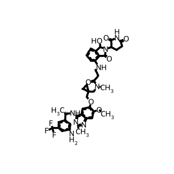 COc1cc2nc(C)nc(N[C@H](C)c3cc(N)cc(C(F)(F)F)c3)c2cc1OCC1(CN(C)C(=O)CCNc2cccc3c2C(=O)N(C2CCC(=O)NC2=O)C3O)CC1